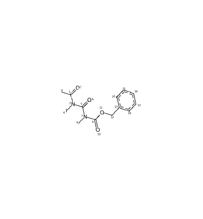 CC(=O)N(I)C(=O)N(C)C(=O)OCc1ccccc1